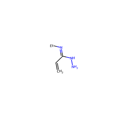 C=C/C(=N\CC)NN